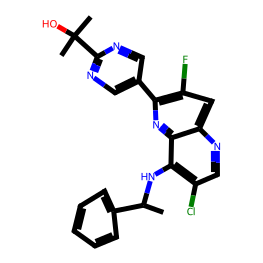 CC(Nc1c(Cl)cnc2cc(F)c(-c3cnc(C(C)(C)O)nc3)nc12)c1ccccc1